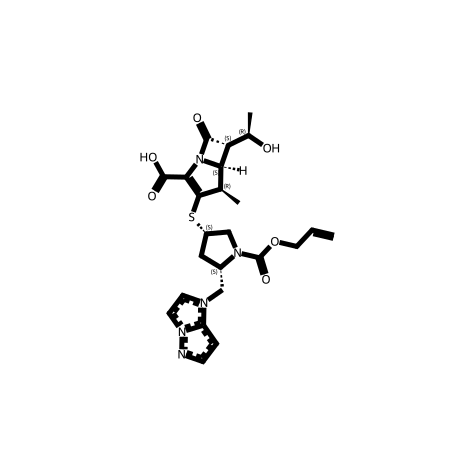 C=CCOC(=O)N1C[C@@H](SC2=C(C(=O)O)N3C(=O)[C@H]([C@@H](C)O)[C@H]3[C@H]2C)C[C@H]1Cn1ccn2nccc12